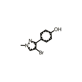 Cn1cc(Br)c(-c2ccc(O)cc2)n1